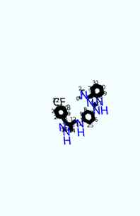 CN(C)c1nc(N[C@H]2CC[C@@H](NCc3c[nH]nc3-c3ccc(C(F)(F)F)cc3)CC2)nc2ccccc12